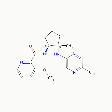 C[C@]1(Nc2cnc(C(F)(F)F)cn2)CCC[C@@H]1NC(=O)c1ncccc1OC(F)(F)F